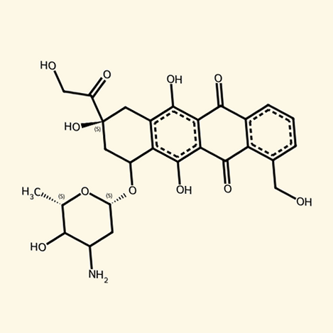 C[C@@H]1O[C@H](OC2C[C@](O)(C(=O)CO)Cc3c(O)c4c(c(O)c32)C(=O)c2c(CO)cccc2C4=O)CC(N)C1O